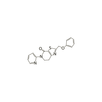 O=C1c2sc(COc3ccccc3)nc2CCN1c1ccccn1